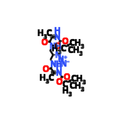 C[C@H](NC(=O)OC(C)(C)C)C(=O)NCC(CNC(=O)[C@H](C)NC(=O)OC(C)(C)C)N=[N+]=[N-]